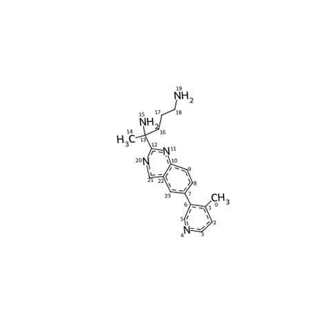 Cc1ccncc1-c1ccc2nc(C(C)(N)CCCN)ncc2c1